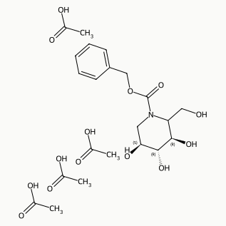 CC(=O)O.CC(=O)O.CC(=O)O.CC(=O)O.O=C(OCc1ccccc1)N1C[C@H](O)[C@@H](O)[C@H](O)C1CO